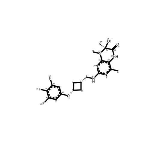 Cc1nc(NC[C@H]2C[C@@H](Oc3cc(F)c(F)c(F)c3)C2)nc2c1NC(=O)[C@](C)(O)N2C